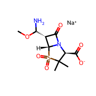 COC(N)[C@@H]1C(=O)N2[C@@H](C(=O)[O-])C(C)(C)S(=O)(=O)[C@H]12.[Na+]